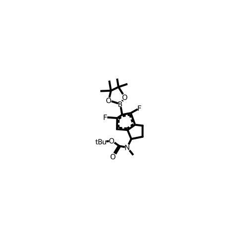 CN(C(=O)OC(C)(C)C)C1CCc2c1cc(F)c(B1OC(C)(C)C(C)(C)O1)c2F